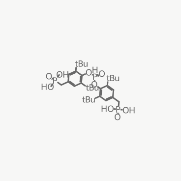 CC(C)(C)c1cc(CP(=O)(O)O)cc(C(C)(C)C)c1O[PH](=O)Oc1c(C(C)(C)C)cc(CP(=O)(O)O)cc1C(C)(C)C